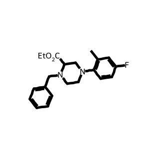 CCOC(=O)C1CN(c2ccc(F)cc2C)CCN1Cc1ccccc1